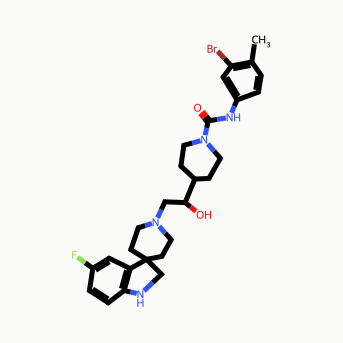 Cc1ccc(NC(=O)N2CCC(C(O)CN3CCC4(CC3)CNc3ccc(F)cc34)CC2)cc1Br